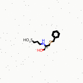 O=S(=O)(O)CCCN[C@H](CO)CSCc1ccccc1